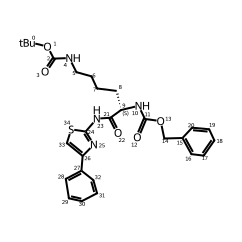 CC(C)(C)OC(=O)NCCCC[C@H](NC(=O)OCc1ccccc1)C(=O)Nc1nc(-c2ccccc2)cs1